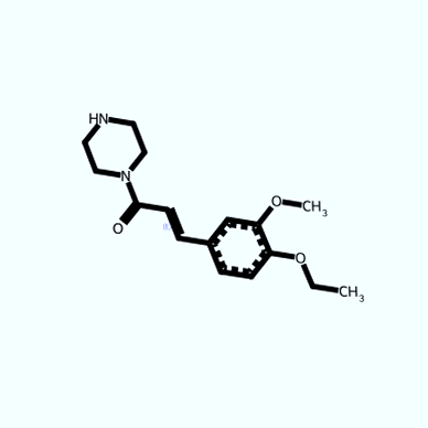 CCOc1ccc(/C=C/C(=O)N2CCNCC2)cc1OC